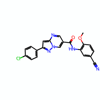 COc1ccc(C#N)cc1NC(=O)c1cnc2cc(-c3ccc(Cl)cc3)nn2c1